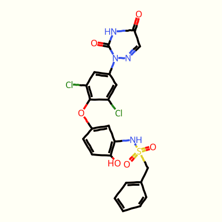 O=c1cnn(-c2cc(Cl)c(Oc3ccc(O)c(NS(=O)(=O)Cc4ccccc4)c3)c(Cl)c2)c(=O)[nH]1